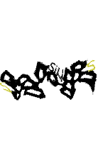 C1=Cc2c(sc3cccc(-c4c5ccccc5c(-c5ccc6c(c5)-c5ccc(-c7c8ccccc8c(-c8cccc9sc%10ccccc%10c89)c8ccccc78)cc5[SiH2]6)c5ccccc45)c23)CC1